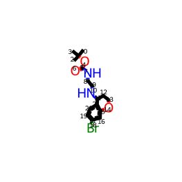 CC(C)(C)OC(=O)NCCNC1CCOc2cc(Br)ccc21